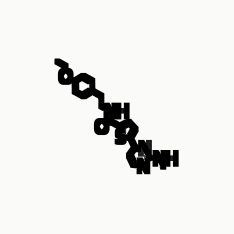 CCOc1ccc(CCNC(=O)c2ccc(-c3ccnc(NC)n3)s2)cc1